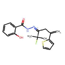 C=C(C/C(=N/NC(=O)c1ccccc1O)C(C)(C)F)c1cccs1